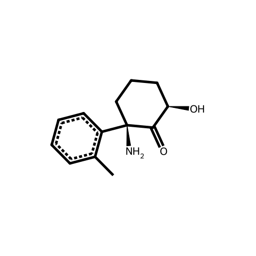 Cc1ccccc1[C@]1(N)CCC[C@@H](O)C1=O